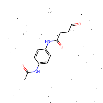 CC(=O)Nc1ccc(NC(=O)CCC=O)cc1